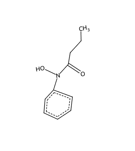 CCCC(=O)N(O)c1ccccc1